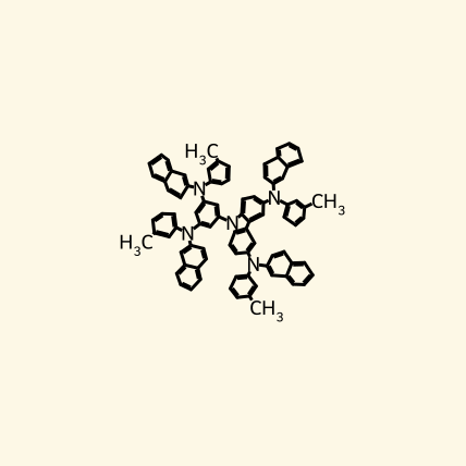 Cc1cccc(N(c2cc(N(c3cccc(C)c3)c3ccc4ccccc4c3)cc(-n3c4ccc(N(c5cccc(C)c5)c5ccc6ccccc6c5)cc4c4cc(N(c5cccc(C)c5)c5ccc6ccccc6c5)ccc43)c2)c2ccc3ccccc3c2)c1